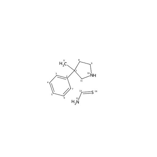 CC1(c2ccccc2)CCNC1.NC=S